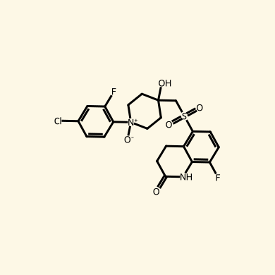 O=C1CCc2c(S(=O)(=O)CC3(O)CC[N+]([O-])(c4ccc(Cl)cc4F)CC3)ccc(F)c2N1